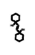 OC1(N=NC2(O)CCCCC2)CCCCC1